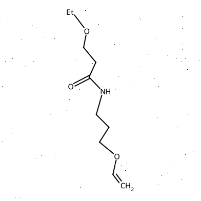 C=COCCCNC(=O)CCOCC